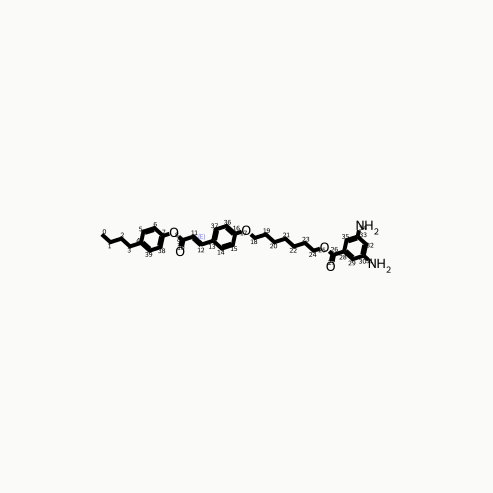 CCCCc1ccc(OC(=O)/C=C/c2ccc(OCCCCCCCOC(=O)c3cc(N)cc(N)c3)cc2)cc1